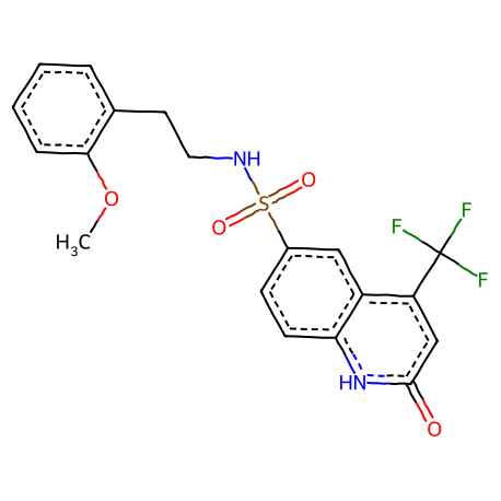 COc1ccccc1CCNS(=O)(=O)c1ccc2[nH]c(=O)cc(C(F)(F)F)c2c1